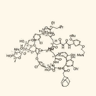 CCCCOc1ccc(OCCNC)cc1NC(=O)NC(=O)C[C@@H]1CC(=O)[C@H](NC(=O)[C@H](CC)CC(C)C)[C@H](O)c2ccc(c(Cl)c2)Oc2cc3cc(c2O[C@@H]2O[C@H](CO)[C@@H](O)[C@H](O)[C@H]2O[C@H]2C[C@](C)(N)[C@H](O)[C@H](C)O2)Oc2ccc(cc2Cl)[C@@H](O)[C@@H]2NC(=O)[C@H](CC(=O)[C@@H]3NC1=O)c1ccc(O)c(c1)-c1c(O)cc(O)cc1[C@@H](C(=O)CC1C3CC4CC(C3)CC1C4)NC2=O